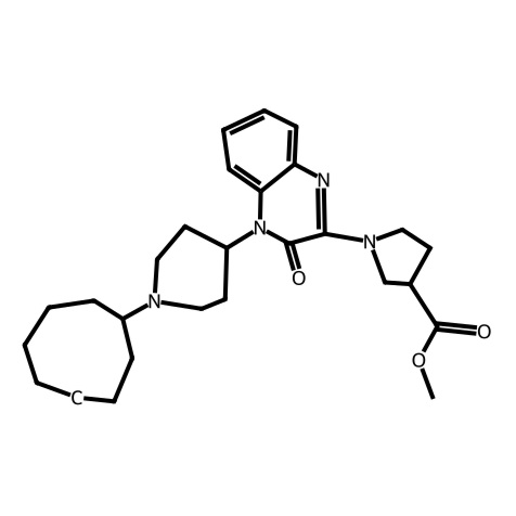 COC(=O)C1CCN(c2nc3ccccc3n(C3CCN(C4CCCCCCC4)CC3)c2=O)C1